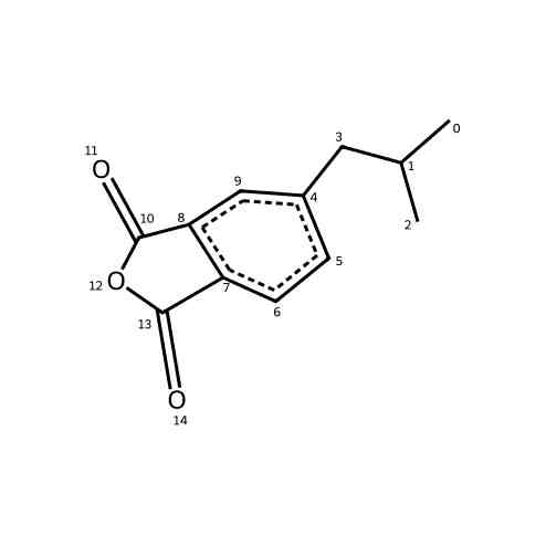 CC(C)Cc1ccc2c(c1)C(=O)OC2=O